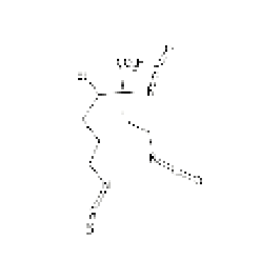 CCC(CCCN=C=O)C(CCN=C=O)(N=C=O)C(=O)O